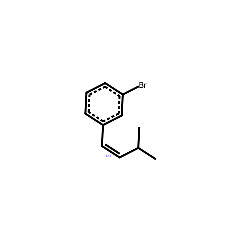 CC(C)/C=C\c1cccc(Br)c1